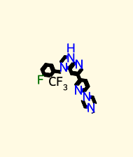 CN1CCN(c2ccc(-c3cnc4c(c3)N(Cc3cccc(F)c3C(F)(F)F)CCN4)cn2)CC1